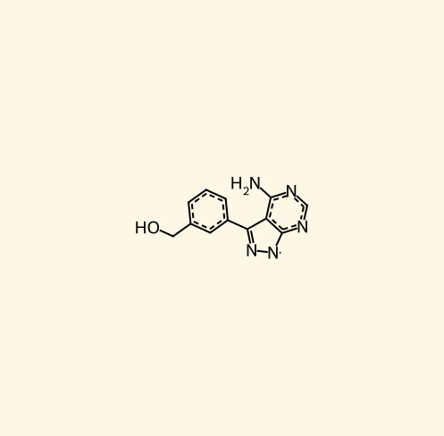 Nc1ncnc2c1C(c1cccc(CO)c1)=N[N]2